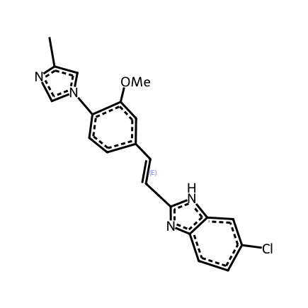 COc1cc(/C=C/c2nc3ccc(Cl)cc3[nH]2)ccc1-n1cnc(C)c1